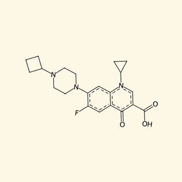 O=C(O)c1cn(C2CC2)c2cc(N3CCN(C4CCC4)CC3)c(F)cc2c1=O